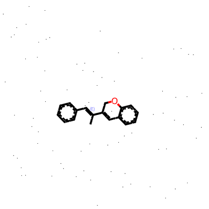 C/C(=C\c1ccccc1)C1=Cc2ccccc2OC1